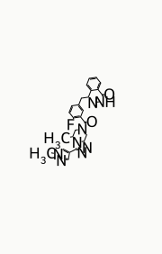 CC1CN(C(=O)c2cc(Cc3n[nH]c(=O)c4ccccc34)ccc2F)Cc2nnc(-c3cnn(C)c3)n21